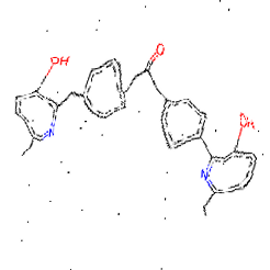 Cc1ccc(O)c(-c2ccc(C(=O)c3ccc(-c4nc(C)ccc4O)cc3)cc2)n1